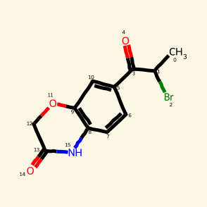 CC(Br)C(=O)c1ccc2c(c1)OCC(=O)N2